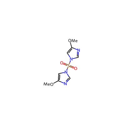 COc1cn(S(=O)(=O)n2cnc(OC)c2)cn1